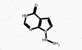 NNn1ccc2c(=O)[nH]cnc21